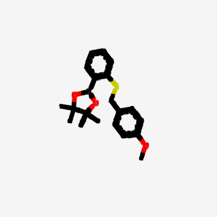 COc1ccc(CSc2ccccc2B2OC(C)(C)C(C)(C)O2)cc1